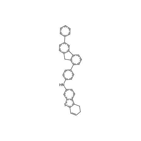 C1=Cc2sc3cc(Nc4ccc(-c5cccc6c5Cc5ccc(-c7ccccc7)cc5-6)cc4)ccc3c2CC1